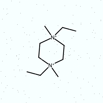 CC[N+]1(C)CC[N+](C)(CC)CC1